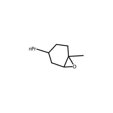 [CH2]CCC1CCC2(C)OC2C1